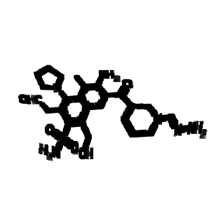 Cc1c(N)c(C(=O)C2CCCN(C=NN)C2)cc2c(CO)c(S(N)(=O)=O)c(CC=O)c(N3CCCC3)c12